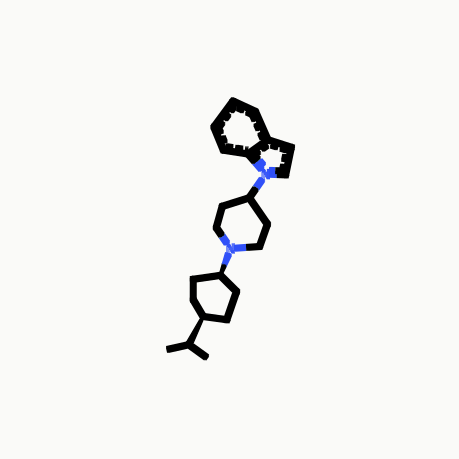 CC(C)[C@H]1CC[C@@H](N2CCC(n3ccc4ccccc43)CC2)CC1